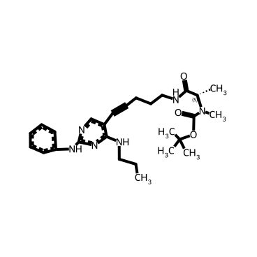 CCCNc1nc(Nc2ccccc2)ncc1C#CCCCNC(=O)[C@H](C)N(C)C(=O)OC(C)(C)C